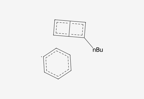 CCCCc1cc2ccc1-2.[c]1ccccc1